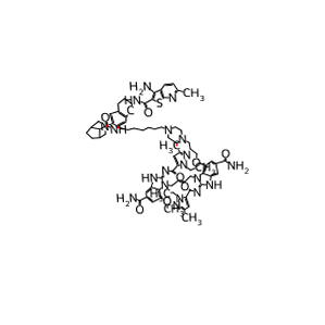 CCn1nc(C)cc1C(=O)/N=c1/[nH]c2cc(C(N)=O)cc(OC)c2n1C/C=C/Cn1/c(=N\C(=O)c2cc(C)nn2CC)[nH]c2cc(C(N)=O)cc(OCCCN3CCN(CCCCCCCNC(=O)C4C5CCC4CN(c4ccc6c(c4)CCC(NC(=O)c4sc7nc(C)ccc7c4N)C6)C5)CC3)c21